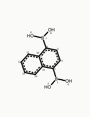 OB(O)c1ccc(B(O)O)c2ccccc12